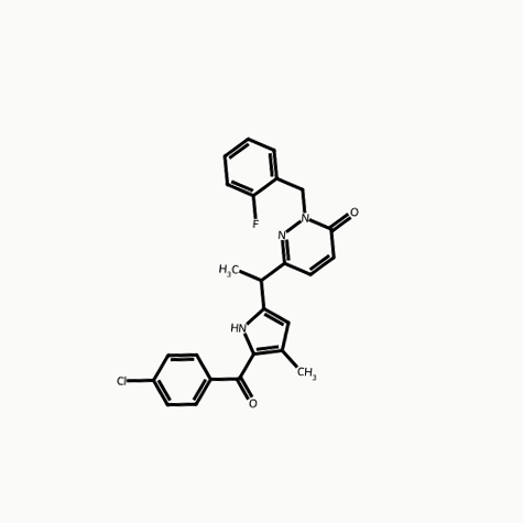 Cc1cc(C(C)c2ccc(=O)n(Cc3ccccc3F)n2)[nH]c1C(=O)c1ccc(Cl)cc1